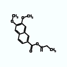 CCNOC(=O)c1ccc2cc(OC)c(OC)cc2c1